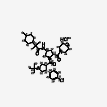 CC1CCC(C(C)(C)C(=O)N[C@H]2C[C@@H](C(=O)N3CCOCC3)N(C(=O)[C@@H]3CN(C(C)(C)C)C[C@H]3c3ccc(Cl)cc3)C2)CC1.Cl